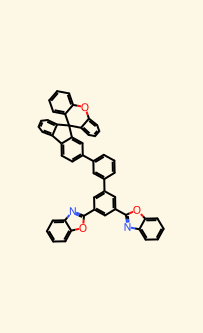 c1cc(-c2cc(-c3nc4ccccc4o3)cc(-c3nc4ccccc4o3)c2)cc(-c2ccc3c(c2)C2(c4ccccc4Oc4ccccc42)c2ccccc2-3)c1